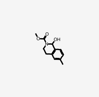 COC(=O)N1CCc2cc(C)ccc2C1O